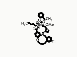 C=CCCCS(=O)(=NC(=O)c1ccc2c(c1)N(C[C@@H]1CC[C@H]1[C@H](C=C)OC)Cc1ccc(Cl)cc1CCCCO2)NC(=O)O[C@@H](C)c1ccccc1